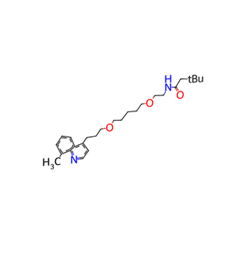 Cc1cccc2c(CCCOCCCCCOCCNC(=O)CC(C)(C)C)ccnc12